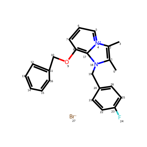 Cc1c(C)[n+]2cccc(OCc3ccccc3)c2n1Cc1ccc(F)cc1.[Br-]